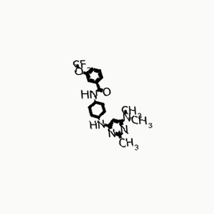 Cc1nc(N[C@H]2CC[C@@H](NC(=O)c3cccc(OC(F)(F)F)c3)CC2)cc(N(C)C)n1